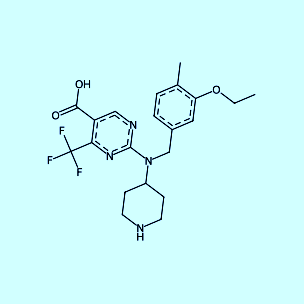 CCOc1cc(CN(c2ncc(C(=O)O)c(C(F)(F)F)n2)C2CCNCC2)ccc1C